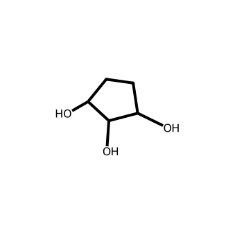 OC1CCC(O)C1O